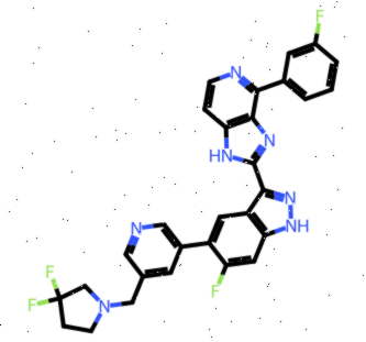 Fc1cccc(-c2nccc3[nH]c(-c4n[nH]c5cc(F)c(-c6cncc(CN7CCC(F)(F)C7)c6)cc45)nc23)c1